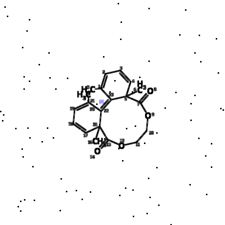 CC1=CC=CC2(C)C(=O)OCCOC(=O)C3(C)C=CC=C(C)/C3=C\12